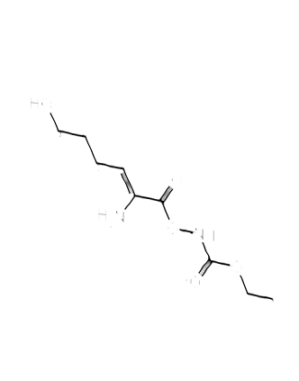 CCOC(=O)NOC(=O)C(N)=CCCCO